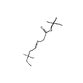 CCC(C)(C)CC=NCC(=O)OC(C)(C)C